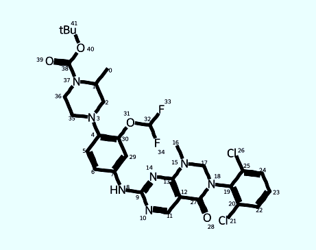 CC1CN(c2ccc(Nc3ncc4c(n3)N(C)CN(c3c(Cl)cccc3Cl)C4=O)cc2OC(F)F)CCN1C(=O)OC(C)(C)C